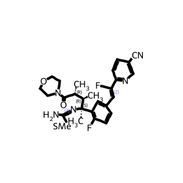 CS/C(N)=N\[C@](C)(c1cc(/C=C(\F)c2ccc(C#N)cn2)ccc1F)[C@H](C)[C@@H](C)C(=O)N1CCOCC1